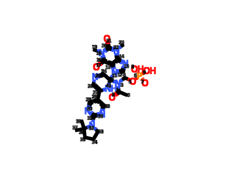 CC(=O)N(COP(=O)(O)O)C1(n2cnc3c2c(=O)n(C)c(=O)n3C)C=NC=C(c2cnc(N3CCCC3(C)C)nc2)N1